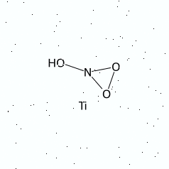 On1oo1.[Ti]